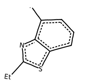 [CH2]c1cccc2sc(CC)nc12